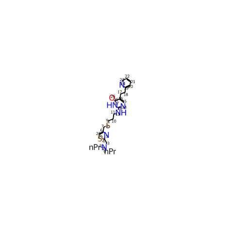 CCCN(CCC)Cc1nc(CSCCCNc2ncc(CCc3ccccn3)c(=O)[nH]2)cs1